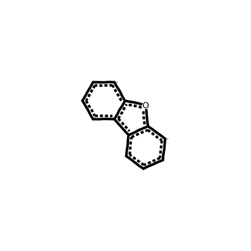 [c]1cccc2c1oc1[c]cccc12